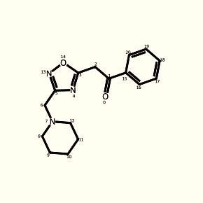 O=C(Cc1nc(CN2CCCCC2)no1)c1ccccc1